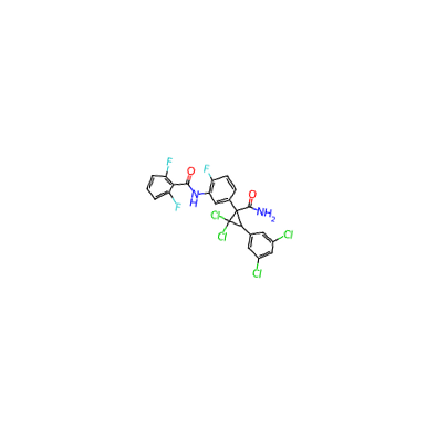 NC(=O)C1(c2ccc(F)c(NC(=O)c3c(F)cccc3F)c2)C(c2cc(Cl)cc(Cl)c2)C1(Cl)Cl